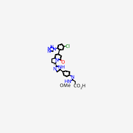 CONC(CC(=O)O)=Nc1ccc(-c2cnc([C@@H]3CCc4cc(-c5cc(Cl)ccc5-n5cnnn5)cc(=O)n43)[nH]2)cc1